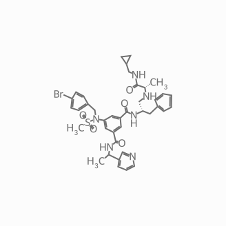 CC(NC(=O)c1cc(C(=O)N[C@H](CN[C@@H](C)C(=O)NCC2CC2)Cc2ccccc2)cc(N(Cc2ccc(Br)cc2)S(C)(=O)=O)c1)c1cccnc1